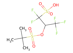 CC(C)(C)S(=O)(=O)OC(C(F)(F)F)C(F)(F)S(=O)(=O)O